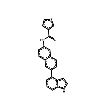 O=C(Nc1ccc2cc(-c3cccc4[nH]ccc34)ccc2c1)c1ccsc1